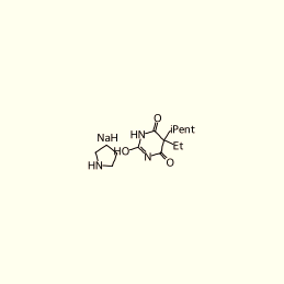 C1CCNC1.CCCC(C)C1(CC)C(=O)N=C(O)NC1=O.[NaH]